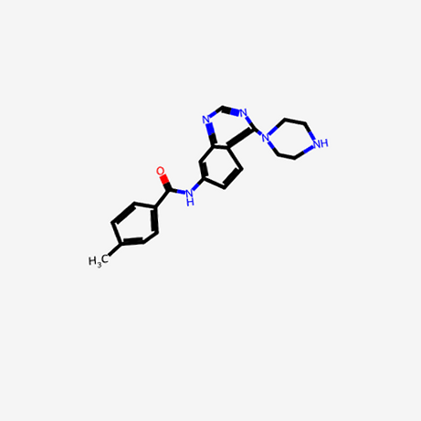 Cc1ccc(C(=O)Nc2ccc3c(N4CCNCC4)ncnc3c2)cc1